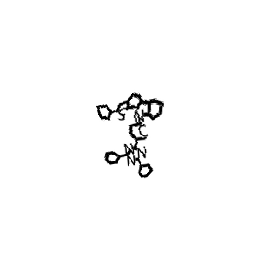 c1ccc(-c2nc(-c3ccccc3)nc(-c3ccc(-n4c5ccccc5c5ccc6cc(-c7ccccc7)sc6c54)cc3)n2)cc1